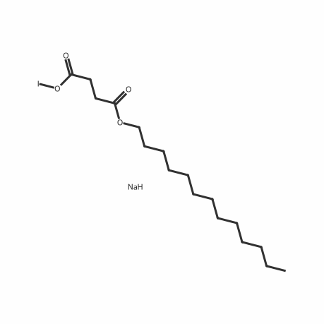 CCCCCCCCCCCCCOC(=O)CCC(=O)OI.[NaH]